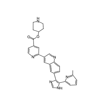 Cc1cccc(-c2[nH]cnc2-c2ccc3ncc(-c4cc(C(=O)OC5CCNCC5)ccn4)cc3c2)n1